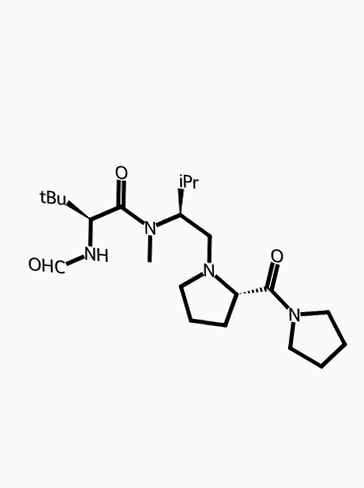 CC(C)[C@@H](CN1CCC[C@H]1C(=O)N1CCCC1)N(C)C(=O)[C@@H](NC=O)C(C)(C)C